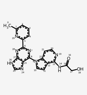 Cc1cccc(-c2nc(-n3ccc4c(NC(=O)CO)nccc43)c3nc[nH]c3n2)n1